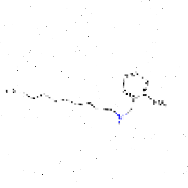 CCCCCCCCCCCCCCCCCCN(C)Cc1ccccc1[N+](=O)[O-]